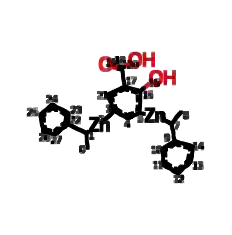 C[CH]([Zn][c]1c[c]([Zn][CH](C)c2ccccc2)c(O)c(C(=O)O)c1)c1ccccc1